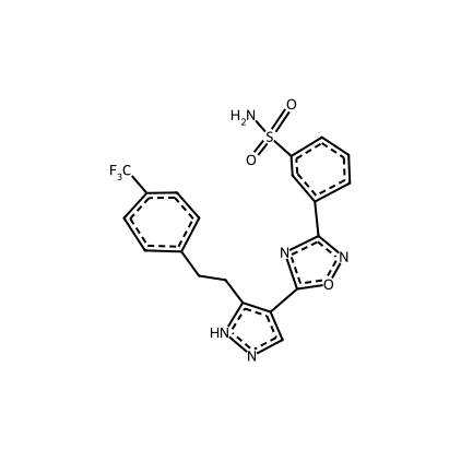 NS(=O)(=O)c1cccc(-c2noc(-c3cn[nH]c3CCc3ccc(C(F)(F)F)cc3)n2)c1